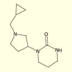 O=C1NCCCN1C1CCN(CC2CC2)C1